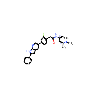 C=N/C(=C\C(=C/C)NC(=O)Cc1ccc(-c2cnc3[nH]c(-c4ccccc4)cc3c2)cc1F)C(F)(F)F